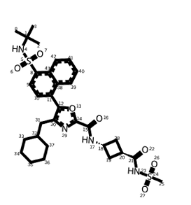 CC(C)(C)NS(=O)(=O)c1ccc(-c2oc(C(=O)N[C@H]3C[C@H](C(=O)NS(C)(=O)=O)C3)nc2CC2CCCCC2)c2ccccc12